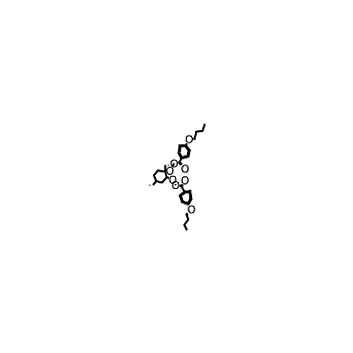 [CH2]C1CCC([CH2])(OOC(=O)c2ccc(OCCCC)cc2)C(OOC(=O)c2ccc(OCCCC)cc2)C1